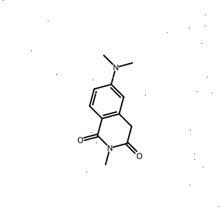 CN1C(=O)Cc2cc(N(C)C)ccc2C1=O